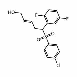 O=S(=O)(c1ccc(Cl)cc1)C(CC=CCO)c1cc(F)ccc1F